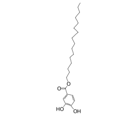 CCCCCCCCCCCCCCCCOC(=O)c1ccc(O)c(O)c1